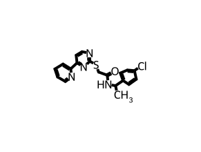 CC(NC(=O)CSc1nccc(-c2ccccn2)n1)c1ccc(Cl)cc1